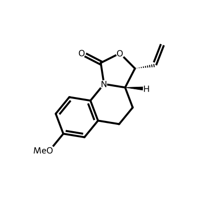 C=C[C@H]1OC(=O)N2c3ccc(OC)cc3CC[C@@H]12